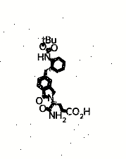 CC(C)(C)OC(=O)N[C@H]1CCCC[C@@H]1Cc1ccc2c(c1)CN([C@@H](CCC(=O)O)C(N)=O)C2=O